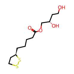 O=C(CCCC[C@@H]1CCSS1)OC[C@@H](O)CCO